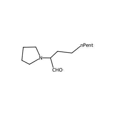 CCCCCCCC([C]=O)N1CCCC1